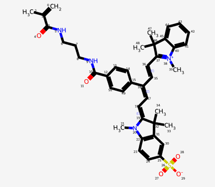 C=C(C)C(=O)NCCCNC(=O)c1ccc(C(=C\C=C2\N(C)c3ccc(S(=O)(=O)[O-])cc3C2(C)C)/C=C/C2=[N+](C)c3ccccc3C2(C)C)cc1